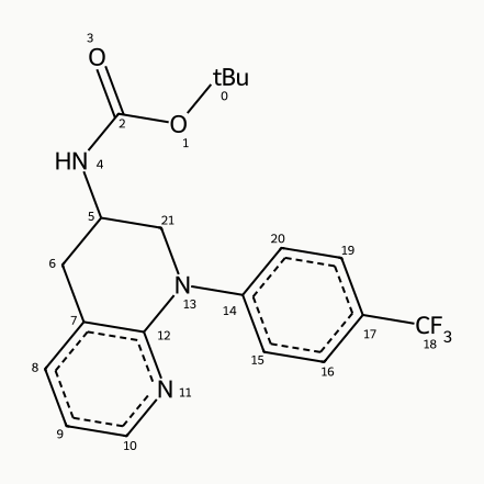 CC(C)(C)OC(=O)NC1Cc2cccnc2N(c2ccc(C(F)(F)F)cc2)C1